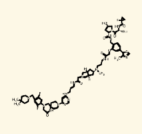 Cc1ncsc1-c1ccc(CNC(=O)[C@@H]2C[C@@H](O)CN2C(=O)[C@@H](NC(=O)C2(F)CC2)C(C)(C)C)c(OCC(=O)NCCCN(C)[C@@H]2C[C@@H]3CN(CC(=O)NCCCNc4cc(N5CCC6(CC5)CN(c5cc(F)c(CN7CCC(C)(C)CC7)cc5F)CC(=O)N6)ncn4)C[C@@H]3C2)c1